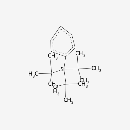 CC(C)(C)[Si](c1c[c]ccc1)(C(C)(C)C)C(C)(C)C